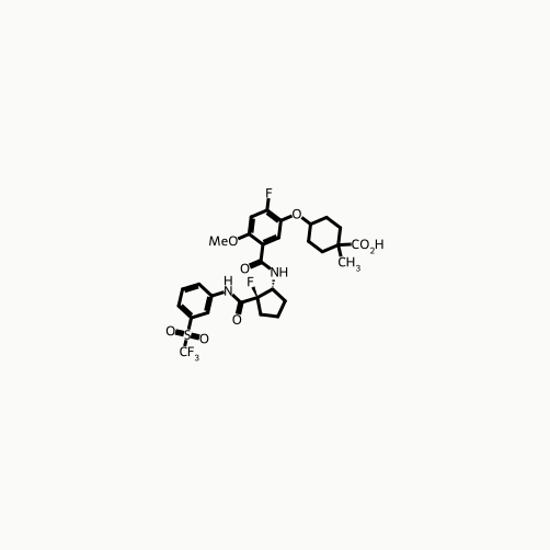 COc1cc(F)c(OC2CCC(C)(C(=O)O)CC2)cc1C(=O)N[C@@H]1CCC[C@]1(F)C(=O)Nc1cccc(S(=O)(=O)C(F)(F)F)c1